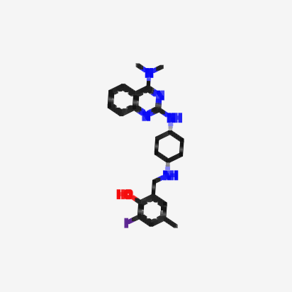 Cc1cc(I)c(O)c(CN[C@H]2CC[C@@H](Nc3nc(N(C)C)c4ccccc4n3)CC2)c1